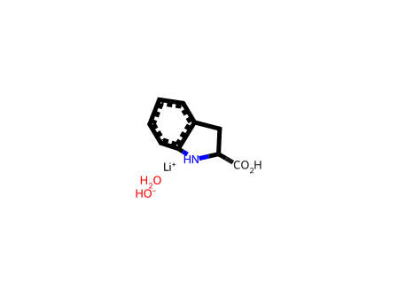 O.O=C(O)C1Cc2ccccc2N1.[Li+].[OH-]